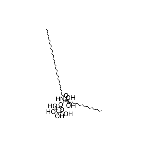 CCCCCCCCCCCCCCCCCCCCCCCCCCCC(=O)N[C@@H](COC1O[C@H](CO)[C@H](O)[C@H](O)[C@H]1O)[C@H](O)[C@H](O)CCCCCCCCCCCCC